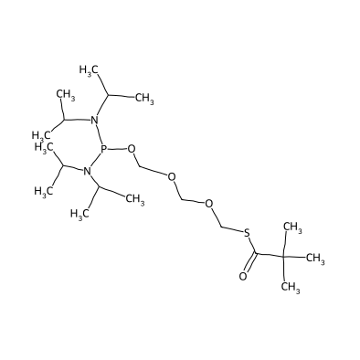 CC(C)N(C(C)C)P(OCOCOCSC(=O)C(C)(C)C)N(C(C)C)C(C)C